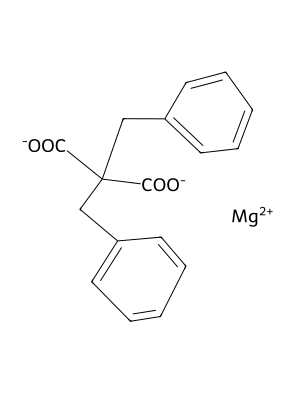 O=C([O-])C(Cc1ccccc1)(Cc1ccccc1)C(=O)[O-].[Mg+2]